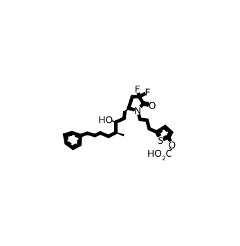 C[C@@H](CCCCc1ccccc1)[C@H](O)CC[C@H]1CC(F)(F)C(=O)N1CCCc1ccc(OC(=O)O)s1